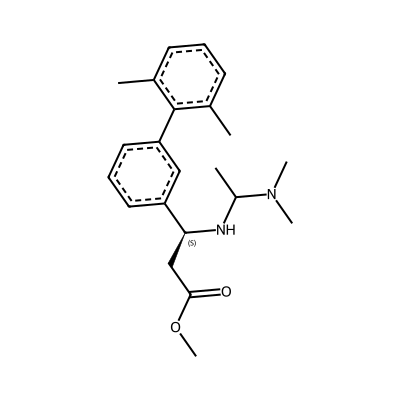 COC(=O)C[C@H](NC(C)N(C)C)c1cccc(-c2c(C)cccc2C)c1